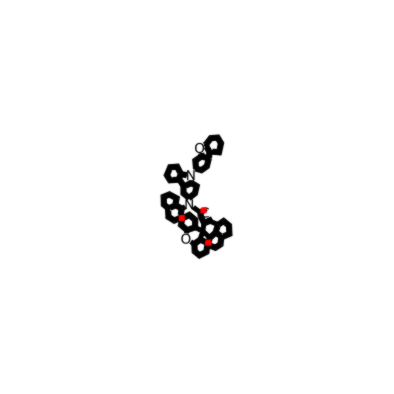 c1ccc2c(c1)Oc1ccccc1C21c2cc(N(c3ccc4c(c3)c3ccccc3n4-c3ccc4c(c3)oc3ccccc34)c3cccc4ccccc34)ccc2-c2cccc3cccc1c23